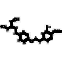 COc1ccc(CCOc2ccc(CC/C(=C\O)CO)cc2)cc1F